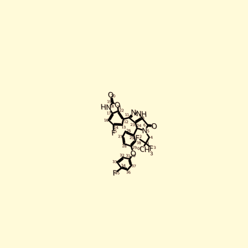 CC(F)(F)CN1C(=O)c2[nH]nc(-c3cc(F)cc4[nH]c(=O)oc34)c2C1c1cccc(Oc2ccc(F)cc2)c1